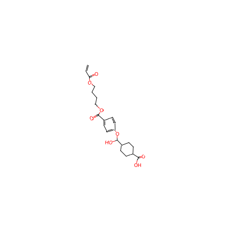 C=CC(=O)OCCCCOC(=O)c1ccc(OC(O)C2CCC(C(=O)O)CC2)cc1